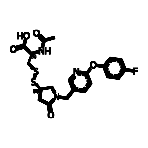 CC(=O)N[C@@H](CSS[C@@H]1CC(=O)N(Cc2ccc(Oc3ccc(F)cc3)nc2)C1)C(=O)O